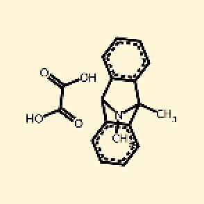 CN1C2c3ccccc3C1(C)c1ccccc12.O=C(O)C(=O)O